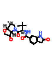 C[C@@H]1CN(C(=O)[C@@H](NC(=O)c2ccc3c(c2)NC(=O)C3)C(C)(C)C)[C@@H]2C(=O)CO[C@H]12